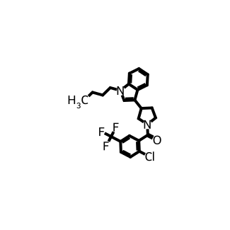 CCCCn1cc(C2CCN(C(=O)c3cc(C(F)(F)F)ccc3Cl)C2)c2ccccc21